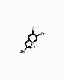 CC(C)c1cn2[nH]c(C(C)(C)C)cc2cc1=O